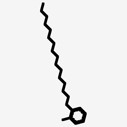 CCCCCCCCCCCCCCCCc1ccccc1C